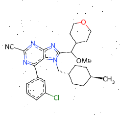 COC(c1nc2nc(C#N)nc(-c3cccc(Cl)c3)c2n1C[C@H]1CC[C@H](C)CC1)C1CCOCC1